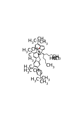 CCCC[C](CCCC)=[Zr]([C]1=CC=CC1)[c]1c2c(cc(C(C)(C)C)c1-c1ccc(C(C)(C)C)cc1)-c1cc(C(C)(C)C)c(-c3ccc(C(C)(C)C)cc3)cc1C2.Cl.Cl